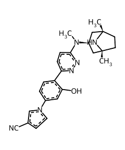 CN(c1ccc(-c2ccc(-n3ccc(C#N)c3)cc2O)nn1)[C@H]1C[C@]2(C)CC[C@](C)(C1)N2